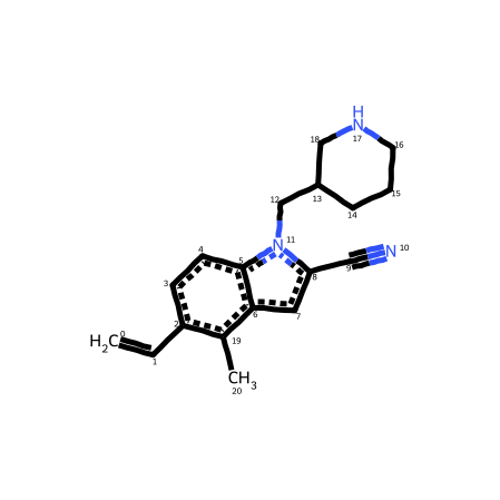 C=Cc1ccc2c(cc(C#N)n2CC2CCCNC2)c1C